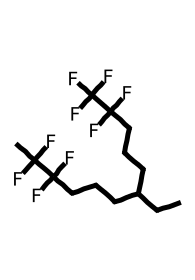 CCC(CCCC(F)(F)C(C)(F)F)CCCC(F)(F)C(F)(F)F